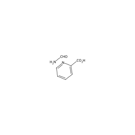 NC=O.O=C(O)c1ccccn1